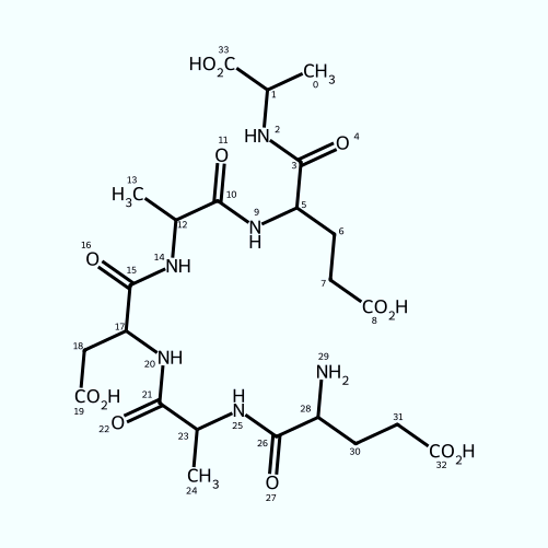 CC(NC(=O)C(CCC(=O)O)NC(=O)C(C)NC(=O)C(CC(=O)O)NC(=O)C(C)NC(=O)C(N)CCC(=O)O)C(=O)O